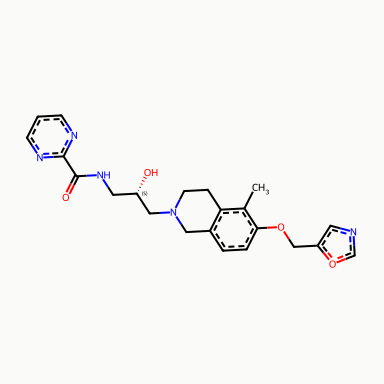 Cc1c(OCc2cnco2)ccc2c1CCN(C[C@@H](O)CNC(=O)c1ncccn1)C2